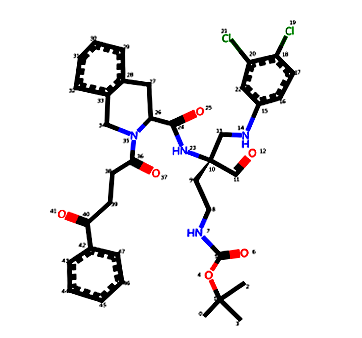 CC(C)(C)OC(=O)NCC[C@](C=O)(CNc1ccc(Cl)c(Cl)c1)NC(=O)C1Cc2ccccc2CN1C(=O)CCC(=O)c1ccccc1